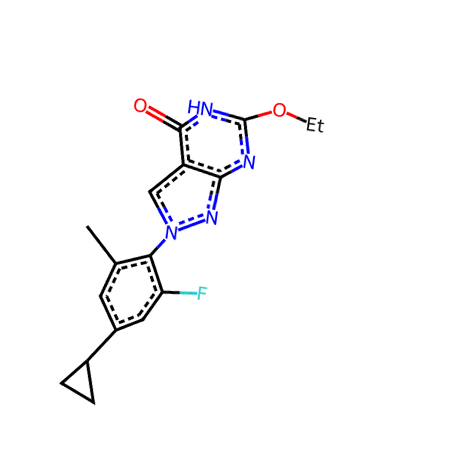 CCOc1nc2nn(-c3c(C)cc(C4CC4)cc3F)cc2c(=O)[nH]1